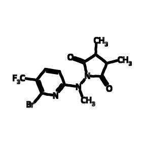 CC1C(=O)N(N(C)c2ccc(C(F)(F)F)c(Br)n2)C(=O)C1C